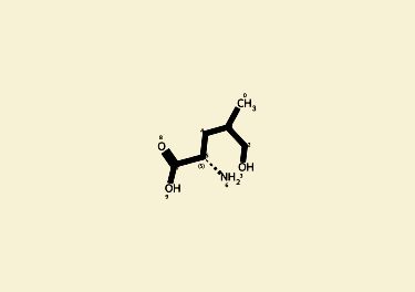 CC(CO)C[C@H](N)C(=O)O